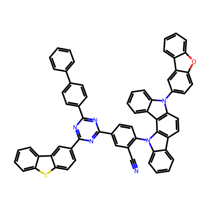 N#Cc1cc(-c2nc(-c3ccc(-c4ccccc4)cc3)nc(-c3ccc4sc5ccccc5c4c3)n2)ccc1-n1c2ccccc2c2ccc3c(c4ccccc4n3-c3ccc4oc5ccccc5c4c3)c21